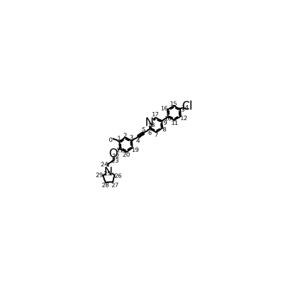 Cc1cc(C#Cc2ccc(-c3ccc(Cl)cc3)cn2)ccc1OCCN1CCCC1